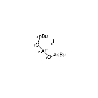 CCCC[O][Al+][O]CCCC.[I-]